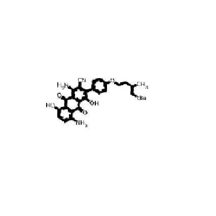 CC(CCOc1ccc(-c2c(O)c3c(c(N)c2C#N)C(=O)c2c(O)ccc(N)c2C3=O)cc1)CC(C)(C)C